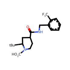 CC(C)(C)C1CC(C(=O)NCc2ccccc2C(F)(F)F)CCN1C(=O)O